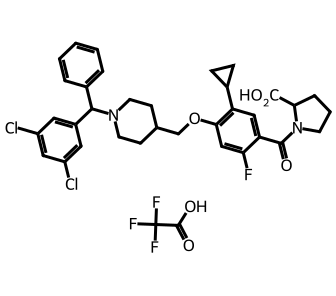 O=C(O)C(F)(F)F.O=C(O)C1CCCN1C(=O)c1cc(C2CC2)c(OCC2CCN(C(c3ccccc3)c3cc(Cl)cc(Cl)c3)CC2)cc1F